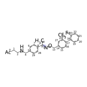 CC(=O)CCNCc1ccc(/C(C)=N/OCc2ccc(-c3ccccc3F)c(C(F)(F)F)c2)cc1